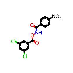 O=C(NOC(=O)c1cc(Cl)cc(Cl)c1)c1ccc([N+](=O)[O-])cc1